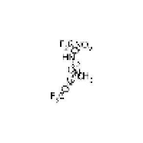 CN(C[C@H]1CC[C@H](Nc2ccc([N+](=O)[O-])c(C(F)(F)F)c2)CC1)C(=O)C1CCN(c2ccc(C(F)(F)F)cc2)CC1